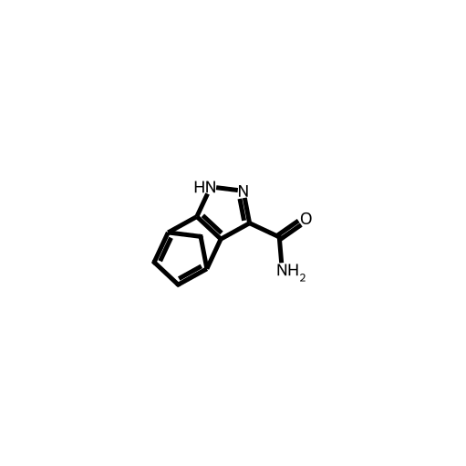 NC(=O)c1n[nH]c2c1C1=CC=C2C1